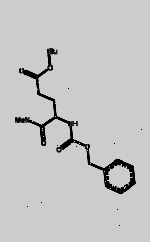 CNC(=O)C(CCC(=O)OC(C)(C)C)NC(=O)OCc1ccccc1